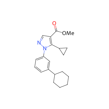 COC(=O)c1cnn(-c2cccc(C3CCCCC3)c2)c1C1CC1